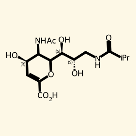 CC(=O)NC1C([C@@H](O)[C@@H](O)CNC(=O)C(C)C)OC(C(=O)O)=C[C@H]1O